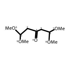 COC(CC(=O)CC(OC)OC)OC